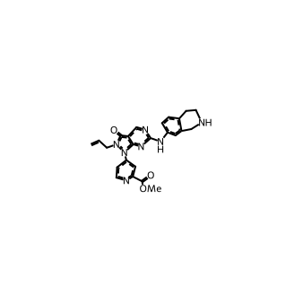 C=CCn1c(=O)c2cnc(Nc3ccc4c(c3)CNCC4)nc2n1-c1ccnc(C(=O)OC)c1